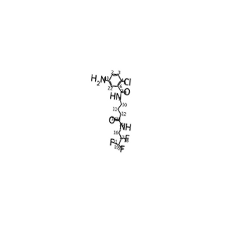 Nc1ccc(Cl)c(C(=O)NCCCC(=O)NCC(F)C(F)F)c1